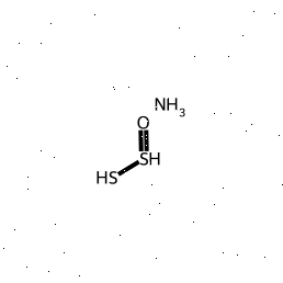 N.O=[SH]S